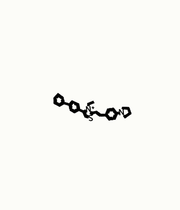 CC[n+]1c(-c2ccc(-c3ccccc3)cc2)csc1/C=C/c1ccc(N2CCCC2)cc1